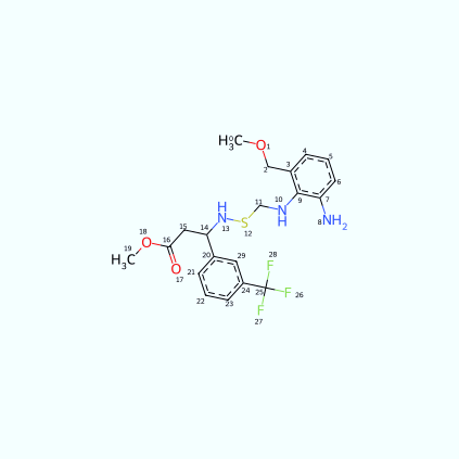 COCc1cccc(N)c1NCSNC(CC(=O)OC)c1cccc(C(F)(F)F)c1